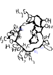 CCOC1C#CC(O)=c2c(O)c3c4c(nc5cc(C)ccn54)c2=C1C(=O)C/C=C/[C@H](OC)[C@@H](CC)C(OC(C)=O)[C@H](C)[C@H](O)[C@H](C)[C@@H](O)[C@@H](C)/C=C/C=C(/C)C(=O)N3